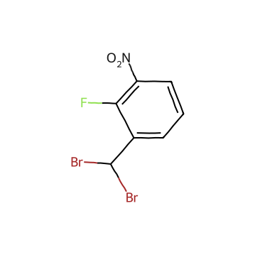 O=[N+]([O-])c1cccc(C(Br)Br)c1F